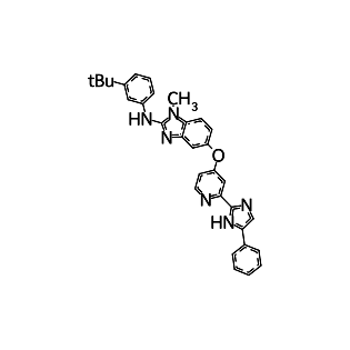 Cn1c(Nc2cccc(C(C)(C)C)c2)nc2cc(Oc3ccnc(-c4ncc(-c5ccccc5)[nH]4)c3)ccc21